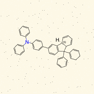 C1=CC2[C@H](C=C1)c1cc(-c3ccc(N(c4ccccc4)c4ccccc4)cc3)ccc1C2(C1=CCCC=C1)c1ccccc1